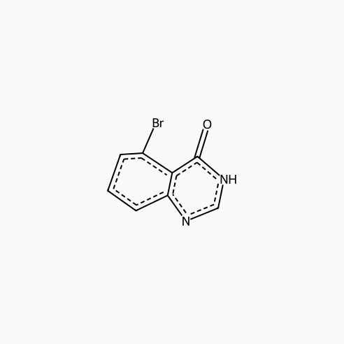 O=c1[nH]cnc2cccc(Br)c12